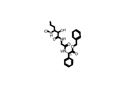 CCCC(NCl)C(O)C(=O)NCC(=O)N[C@H](C(=O)OCc1ccccc1)c1ccccc1